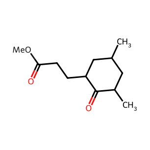 COC(=O)CCC1CC(C)CC(C)C1=O